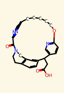 O=C(O)CC1c2ccc(nc2)OCCCCCc2cnc(nc2)C(=O)N2CCc3ccc1cc3C2